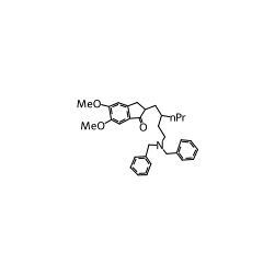 CCCC(CCN(Cc1ccccc1)Cc1ccccc1)CC1Cc2cc(OC)c(OC)cc2C1=O